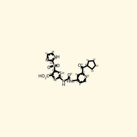 O=C(Nc1ccnc(C(=O)C2CCCC2)c1)Nc1nc(C(=O)O)c(S(=O)(=O)c2ncc[nH]2)s1